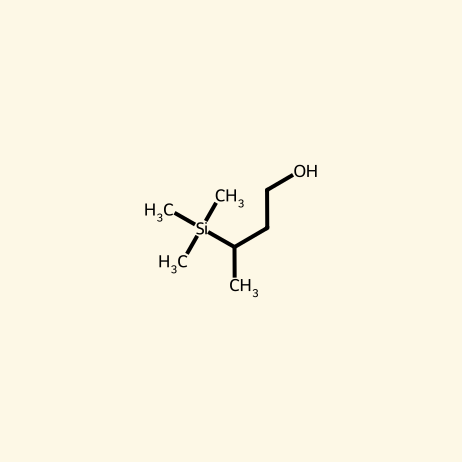 CC(CCO)[Si](C)(C)C